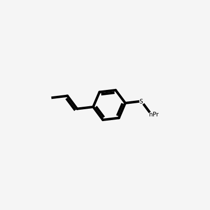 C/C=C/c1ccc(SCCC)cc1